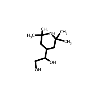 CC1(C)CC(C(O)CO)CC(C)(C)N1